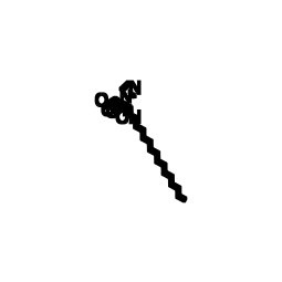 CCCCCCCCCCCCCCCC=CC(CC(=O)O)(C(=O)O)N1C=NCC1